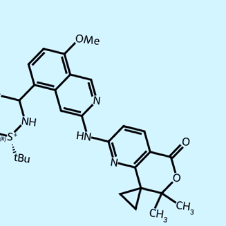 CCC(N[S@@+]([O-])C(C)(C)C)c1ccc(OC)c2cnc(Nc3ccc4c(n3)C3(CC3)C(C)(C)OC4=O)cc12